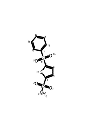 NS(=O)(=O)c1ccc(S(=O)(=O)c2ccccc2)s1